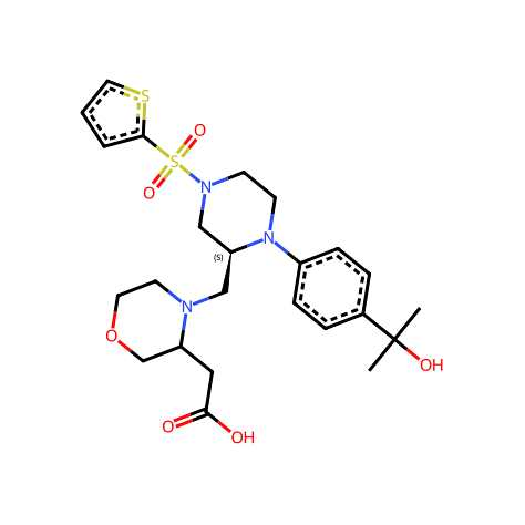 CC(C)(O)c1ccc(N2CCN(S(=O)(=O)c3cccs3)C[C@@H]2CN2CCOCC2CC(=O)O)cc1